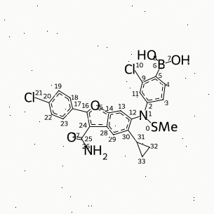 CSN(c1ccc(B(O)O)c(Cl)c1)c1cc2oc(-c3ccc(Cl)cc3)c(C(N)=O)c2cc1C1CC1